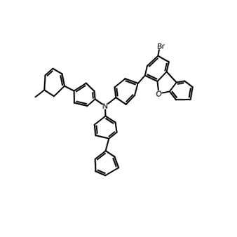 CC1C=CC=C(c2ccc(N(c3ccc(-c4ccccc4)cc3)c3ccc(-c4cc(Br)cc5c4oc4ccccc45)cc3)cc2)C1